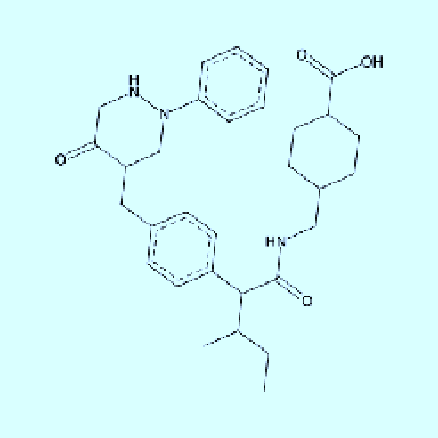 CCC(C)C(C(=O)NCC1CCC(C(=O)O)CC1)c1ccc(CC2CN(c3ccccc3)NCC2=O)cc1